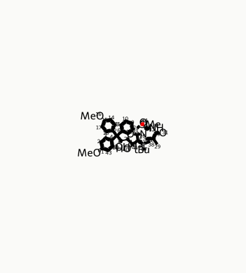 COc1ccc(C(c2ccccc2)(c2ccc(OC)cc2)C(O)[C@H]2O[C@@](CSC)(n3cc(C)c(=O)[nH]c3=O)C([SiH](C)C)[C@@]2(O)C(C)(C)C)cc1